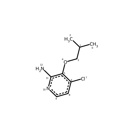 CC(C)COc1c(Cl)ccnc1N